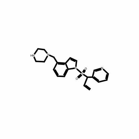 C=CC(c1cccnc1)S(=O)(=O)n1ccc2c(CN3CCNCC3)cccc21